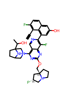 C#Cc1c(F)ccc2cc(O)cc(-c3ncc4c(N5CC6CCC(C(C)O)(C5)N6)nc(OC[C@@]56CCCN5C[C@H](F)C6)nc4c3F)c12